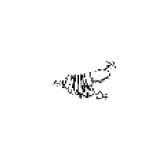 N#Cc1ccc(-c2nc(N3CC4CCNCC4C3)ncc2-c2ccc(F)cc2)cc1